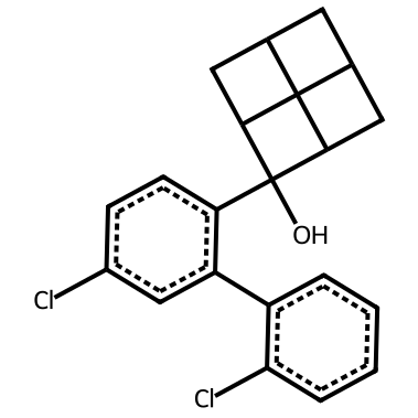 OC1(c2ccc(Cl)cc2-c2ccccc2Cl)C2CC3CC4CC1C342